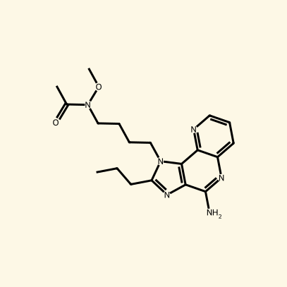 CCCc1nc2c(N)nc3cccnc3c2n1CCCCN(OC)C(C)=O